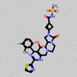 Cc1c(F)cccc1C1N=C(c2nccs2)NC(CN2CCN3C(=O)N(C45CC(C(=O)NS(C)(=O)=O)(C4)C5)CC3C2)=C1C(=O)O